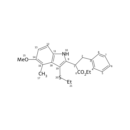 CCOC(=O)C(Cc1ccccc1)c1[nH]c2ccc(OC)c(C)c2c1SCC